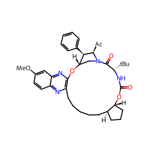 COc1ccc2nc3c(nc2c1)O[C@H]1CN(C(=O)[C@H](C(C)(C)C)NC(=O)O[C@@H]2CCC[C@H]2CCCCC3)[C@H](C(C)=O)[C@@H]1c1ccccc1